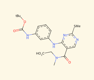 CSc1ncc(C(=O)N(C)CC(=O)O)c(Nc2cccc(NC(=O)OC(C)(C)C)c2)n1